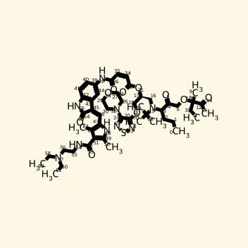 CCCC(C(=O)COC(C)(CC)C(C)=O)N(C[C@@H](COc1nsnc1N1CCOCC1)OC(=O)/C=C\C(=O)Nc1ccc2c(c1)/C(=C/c1[nH]c(C)c(C(=O)NCCN(CC)CC)c1C)C(=O)N2)C(C)(C)C